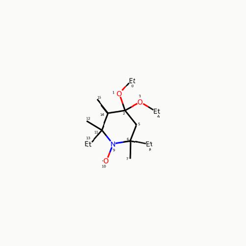 CCOC1(OCC)CC(C)(CC)N([O])C(C)(CC)C1C